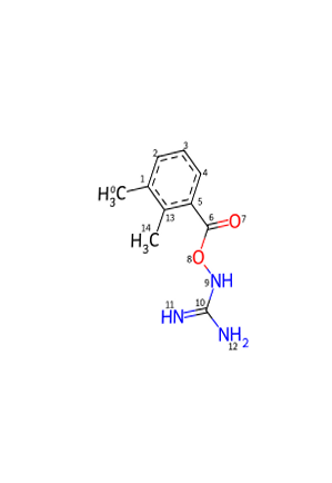 Cc1cccc(C(=O)ONC(=N)N)c1C